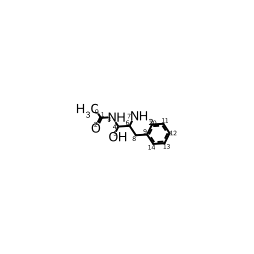 CC(=O)NC(O)C(N)Cc1ccccc1